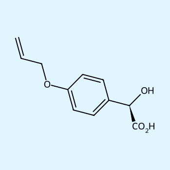 C=CCOc1ccc([C@@H](O)C(=O)O)cc1